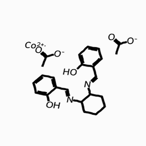 CC(=O)[O-].CC(=O)[O-].Oc1ccccc1C=NC1CCCCC1N=Cc1ccccc1O.[Co+2]